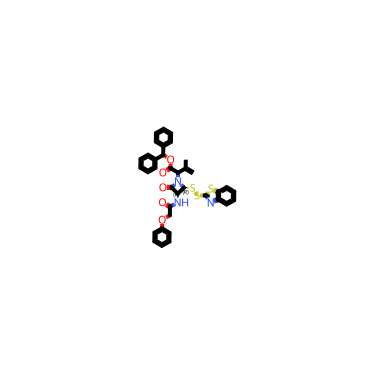 C=C(C)C(C(=O)OC(c1ccccc1)c1ccccc1)N1C(=O)[C@@H](NC(=O)COc2ccccc2)[C@H]1SSc1nc2ccccc2s1